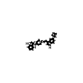 C[C@@](CO)(NC1CCN(CCCc2c[nH]c3ccc(-n4cnnc4)cc23)CC1)c1ccccc1